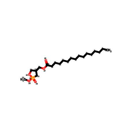 CCCCCCCCCCCCCCCC(=O)OCC1COP(=O)(OC)C1